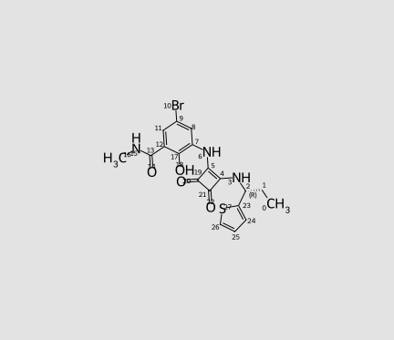 CC[C@@H](Nc1c(Nc2cc(Br)cc(C(=O)NC)c2O)c(=O)c1=O)c1cccs1